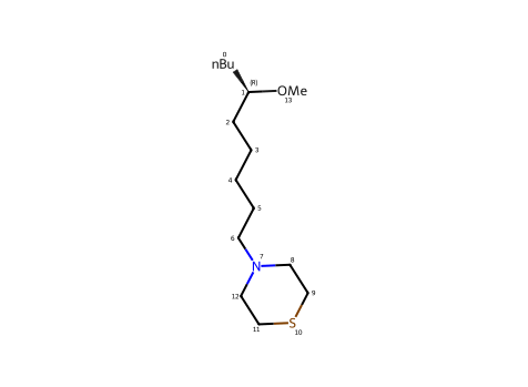 CCCC[C@H](CCCCCN1CCSCC1)OC